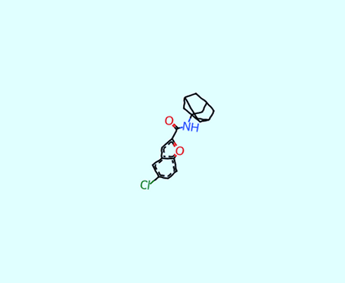 O=C(NC12CC3CC(CC(C3)C1)C2)c1cc2cc(Cl)ccc2o1